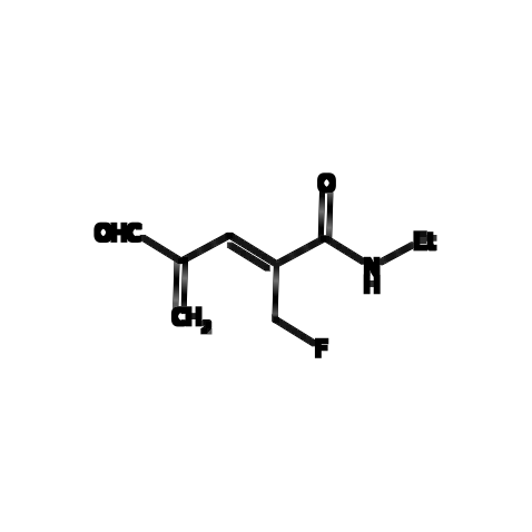 C=C(C=O)/C=C(\CF)C(=O)NCC